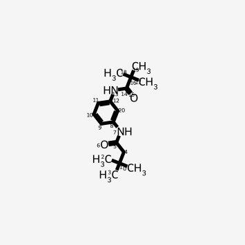 CC(C)(C)CC(=O)Nc1cccc(NC(=O)C(C)(C)C)c1